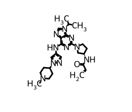 C=CC(=O)N[C@H]1CCN(c2nc(Nc3cnn(C4CCN(C)CC4)c3)c3ncn(C(C)C)c3n2)C1